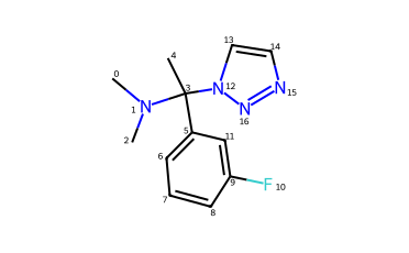 CN(C)C(C)(c1cccc(F)c1)n1ccnn1